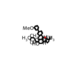 COc1cccc(-c2ccc3c(c2)C[C@]24CCC5(CC(C)(C)COO5)C[C@]2(O)CC[C@@H]2[C@@H]4[C@@H]3C[C@]3(C)C(=O)CC[C@@H]23)c1